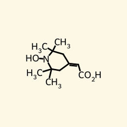 CC1(C)CC(=CC(=O)O)CC(C)(C)N1O